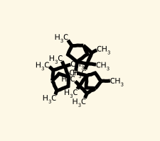 CC1C[C]2([Cr]([C]34CC(C)C(C3)C(C)C4(C)C)[C]34CC(C)C(C3)C(C)C4(C)C)CC1C(C)C2(C)C